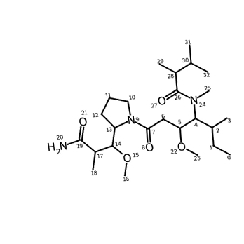 CCC(C)C(C(CC(=O)N1CCCC1C(OC)C(C)C(N)=O)OC)N(C)C(=O)C(C)C(C)C